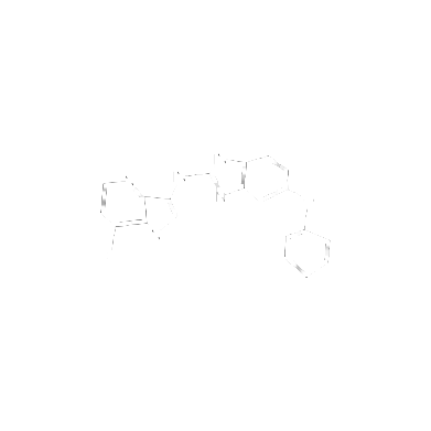 Clc1ccnc2c(Nc3nc4cc(Oc5ccccc5)ccc4[nH]3)c[nH]c12